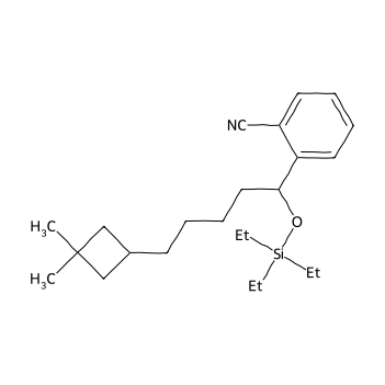 CC[Si](CC)(CC)OC(CCCCC1CC(C)(C)C1)c1ccccc1C#N